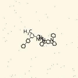 CC1C=C(C(N)/C=C\N=C\n2c3ccccc3c3cc4c5ccccc5n(-c5ccccc5)c4cc32)C=C(c2ccc(-c3ccccc3)cc2)C1